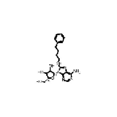 Nc1ncnc2c1nc(NCCCCc1ccccc1)n2[C@@H]1O[C@H](CO)C(O)C1O